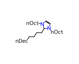 CCCCCCCCCCCCCCC1N(CCCCCCCC)C=CN1CCCCCCCC